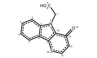 O=C(O)Cn1c2ccccc2c2sccc(=O)c21